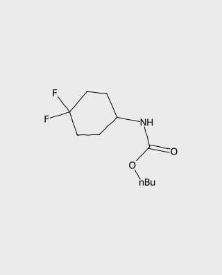 CCCCOC(=O)NC1CCC(F)(F)CC1